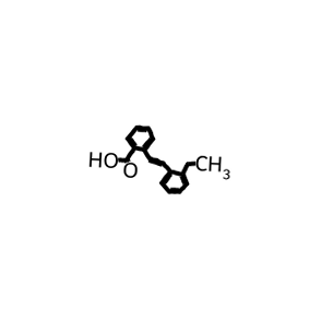 CCc1ccccc1C=Cc1ccccc1C(=O)O